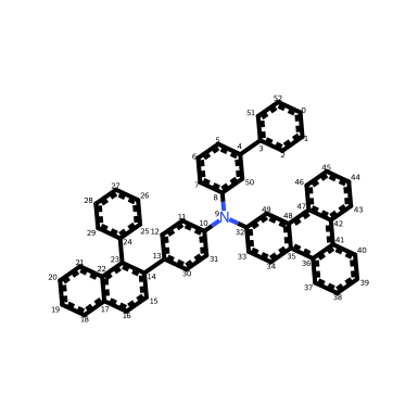 c1ccc(-c2cccc(N(c3ccc(-c4ccc5ccccc5c4-c4ccccc4)cc3)c3ccc4c5ccccc5c5ccccc5c4c3)c2)cc1